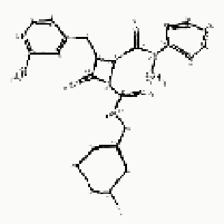 CN(C(=O)[C@@H]1C(Cc2ccnc(N)c2)C(=O)N1C(=O)NCC1CCCC(Cl)C1)c1ccncc1